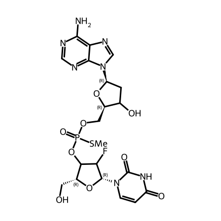 CSP(=O)(OC[C@H]1O[C@@H](n2cnc3c(N)ncnc32)CC1O)OC1C(F)[C@H](n2ccc(=O)[nH]c2=O)O[C@@H]1CO